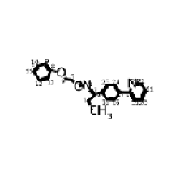 CC/C(=N\OCCOc1c[c]ccc1)c1ccc(-c2ccccn2)cc1